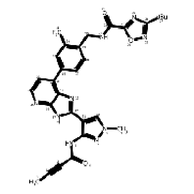 CC#CC(=O)Nc1nn(C)cc1-c1nc2c(-c3ccc(CNC(=O)c4nc(C(C)(C)C)no4)c(C(F)(F)F)c3)ccnc2[nH]1